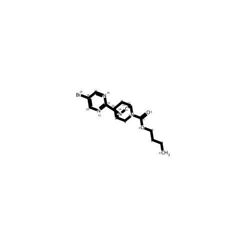 CCCCOC(=O)N1CC2CCC1CN2c1ncc(Br)cn1